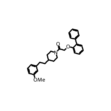 COc1cccc(CCC2CCN(C(=O)COc3ccccc3-c3ccccc3)CC2)c1